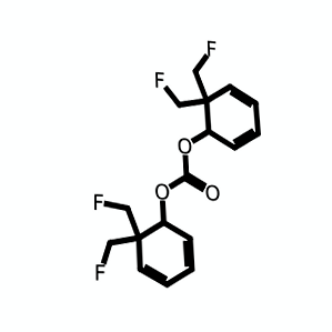 O=C(OC1C=CC=CC1(CF)CF)OC1C=CC=CC1(CF)CF